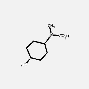 CN(C(=O)O)[C@H]1CC[C@@H](O)CC1